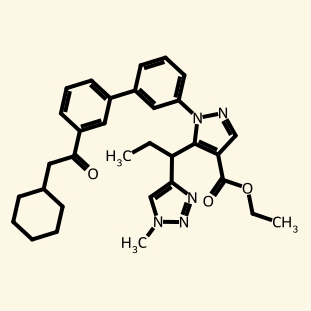 CCOC(=O)c1cnn(-c2cccc(-c3cccc(C(=O)CC4CCCCC4)c3)c2)c1C(CC)c1cn(C)nn1